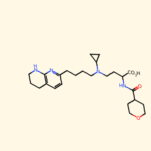 O=C(NC(CCN(CCCCc1ccc2c(n1)NCCC2)C1CC1)C(=O)O)C1CCOCC1